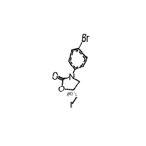 O=C1O[C@@H](CI)CN1c1ccc(Br)cc1